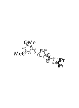 COc1cc(C=Cc2ccc(OC(=O)CCN(C(C)C)C(C)C)cc2)cc(OC)c1